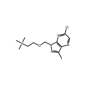 C[Si](C)(C)CCOCn1nc(I)c2ncc(Cl)nc21